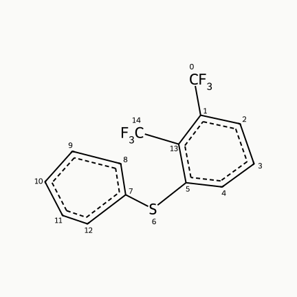 FC(F)(F)c1cccc(Sc2ccccc2)c1C(F)(F)F